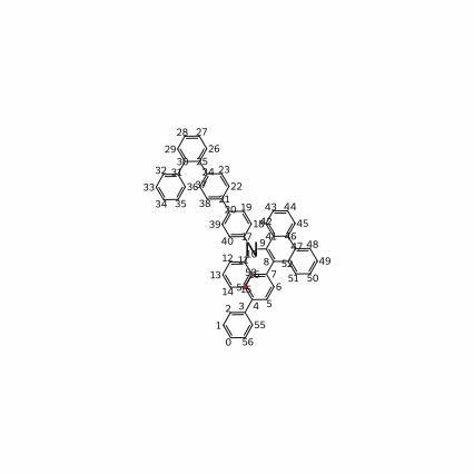 c1ccc(-c2ccc(-c3c(N(c4ccccc4)c4ccc(-c5ccc(-c6ccccc6-c6ccccc6)cc5)cc4)c4ccccc4c4ccccc34)cc2)cc1